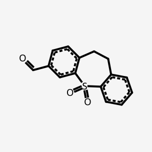 O=Cc1ccc2c(c1)S(=O)(=O)c1ccccc1CC2